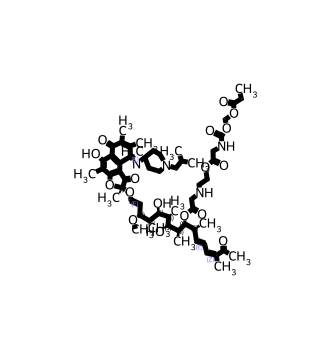 CCC(=O)OCOC(=O)NCC(=O)OCCNCC(=O)O[C@H]([C@@H](C)[C@@H](O)[C@@H](C)[C@H](O)[C@H](C)[C@H](/C=C/O[C@@]1(C)Oc2c(C)c(O)c3c(c2C1=O)/C(=N/C1(C)CCN(CC(C)C)CC1)C(C)=C(C)C3=O)OC)[C@@H](C)/C=C/C=C(/C)C(C)=O